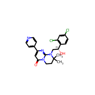 CC1(C)CCn2c(nc(-c3ccncc3)cc2=O)N1C[C@@H](O)c1ccc(Cl)cc1Cl